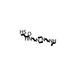 CC(S)CC(=O)NCCN1CCN(CCNC(C)C)CC1